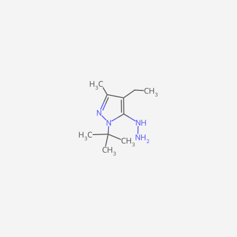 CCc1c(C)nn(C(C)(C)C)c1NN